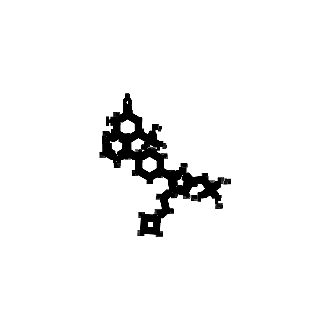 O=C1CC(C(F)(F)F)c2c(ncnc2N2CCC(c3nc(CC(F)(F)F)cn3CCN3CCC3)CC2)N1